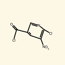 O=C(Cl)c1cnc(Cl)c([N+](=O)[O-])c1